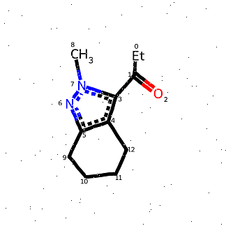 CCC(=O)c1c2c(nn1C)CCCC2